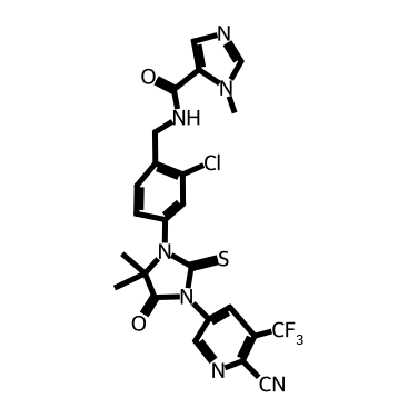 Cn1cncc1C(=O)NCc1ccc(N2C(=S)N(c3cnc(C#N)c(C(F)(F)F)c3)C(=O)C2(C)C)cc1Cl